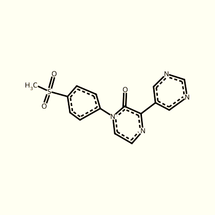 CS(=O)(=O)c1ccc(-n2ccnc(-c3cncnc3)c2=O)cc1